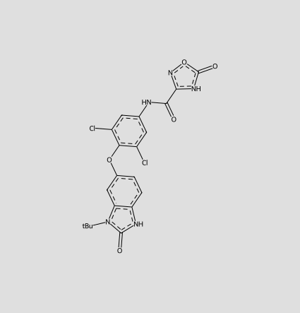 CC(C)(C)n1c(=O)[nH]c2ccc(Oc3c(Cl)cc(NC(=O)c4noc(=O)[nH]4)cc3Cl)cc21